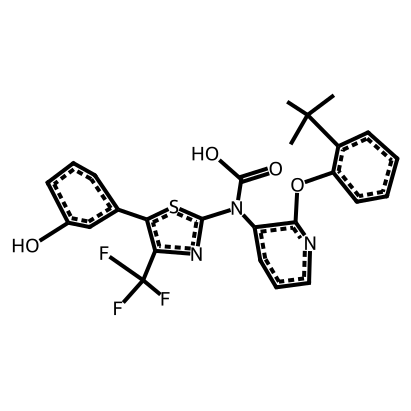 CC(C)(C)c1ccccc1Oc1ncccc1N(C(=O)O)c1nc(C(F)(F)F)c(-c2cccc(O)c2)s1